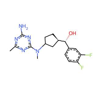 Cc1nc(N)nc(N(C)C2CC[C@@H]([C@H](O)c3ccc(F)c(F)c3)C2)n1